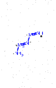 N=N/N=N/N